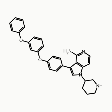 Nc1nccc2c1c(-c1ccc(Oc3cccc(Oc4ccccc4)c3)cc1)cn2C1CCCNC1